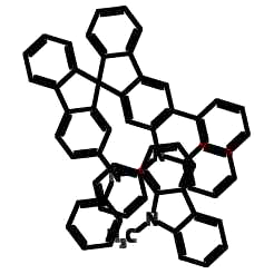 Cn1c2ccccc2c2cccc(N(c3ccccc3)c3ccc4c(c3)C3(c5ccccc5-4)c4ccccc4-c4cc(-c5ccccc5)c(N(c5ccccc5)c5ccccc5)cc43)c21